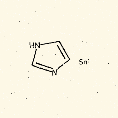 [Sn].c1c[nH]cn1